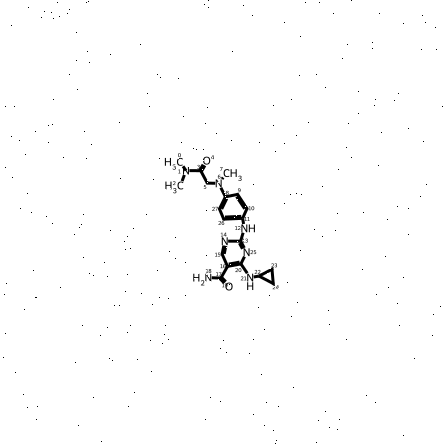 CN(C)C(=O)CN(C)c1ccc(Nc2ncc(C(N)=O)c(NC3CC3)n2)cc1